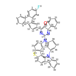 Fc1ccc2c3ccccc3c3ccc(-c4nc(-n5c6ccc7sc8ccc9c%10ccccc%10n%10c%11cccc5c%11c6c7c8c9%10)nc5c4oc4ccccc45)cc3c2c1